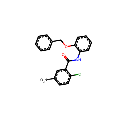 O=C(Nc1ccccc1OCc1ccccc1)c1cc([N+](=O)[O-])ccc1Cl